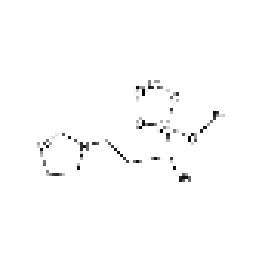 CCCC(CCN1C=NCC1)[Si](OCC)(OCC)OCC